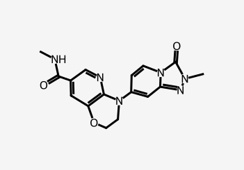 CNC(=O)c1cnc2c(c1)OCCN2c1ccn2c(=O)n(C)nc2c1